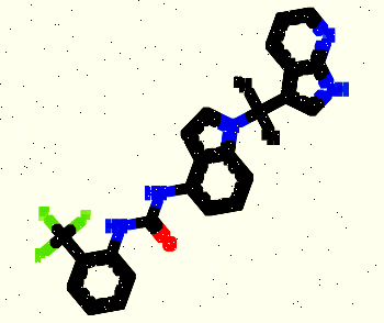 [2H]C([2H])(c1c[nH]c2ncccc12)n1ccc2c(NC(=O)Nc3ccccc3C(F)(F)F)cccc21